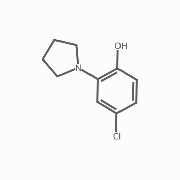 Oc1ccc(Cl)cc1N1CCCC1